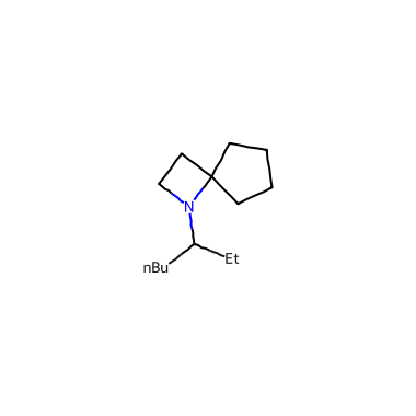 CCCCC(CC)N1CCC12CCCC2